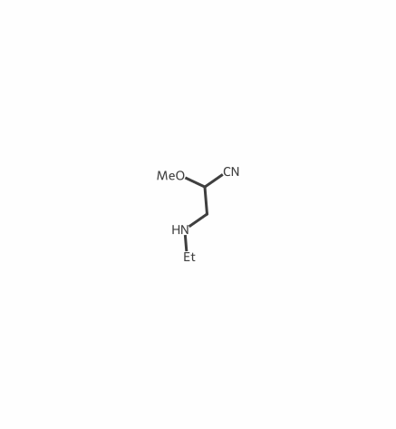 CCNCC(C#N)OC